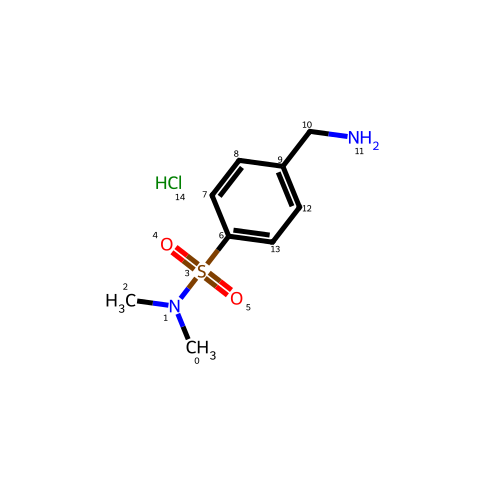 CN(C)S(=O)(=O)c1ccc(CN)cc1.Cl